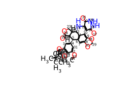 COc1cc([C@@H]2c3cc4c(cc3[C@@H](Nc3cc(=O)[nH][nH]c3=O)[C@H]3COC(=O)[C@H]23)OCO4)cc(OC)c1O[Si](C)(C)C(C)(C)C